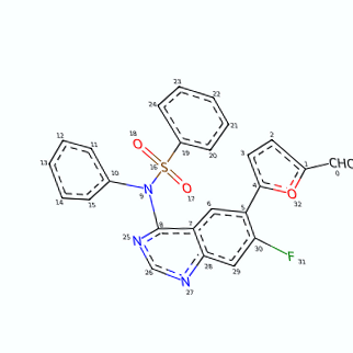 O=Cc1ccc(-c2cc3c(N(c4ccccc4)S(=O)(=O)c4ccccc4)ncnc3cc2F)o1